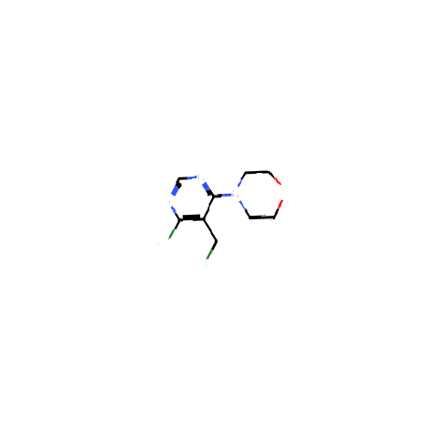 ClCc1c(Cl)ncnc1N1CCOCC1